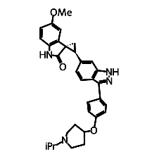 COc1ccc2c(c1)[C@]1(C[C@H]1c1ccc3c(-c4ccc(OC5CCN(C(C)C)CC5)cc4)n[nH]c3c1)C(=O)N2